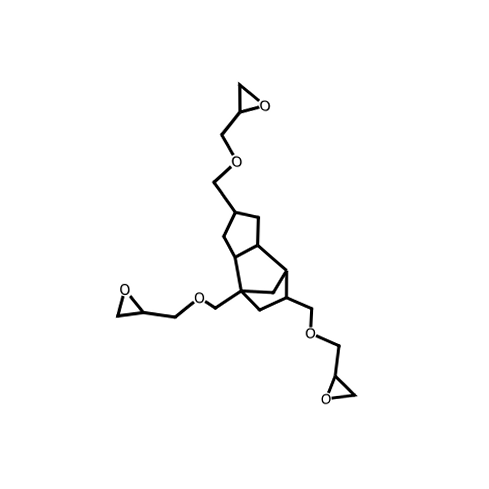 C(OCC1CO1)C1CC2C3CC(COCC4CO4)(CC3COCC3CO3)C2C1